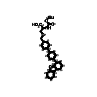 CC(C)(C)OC(=O)NC(COCc1ccc(-c2ccc(-c3cccc4c3oc3ccccc34)cc2)cc1)C(=O)O